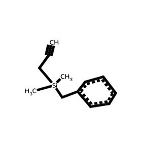 C#CC[Si](C)(C)Cc1ccccc1